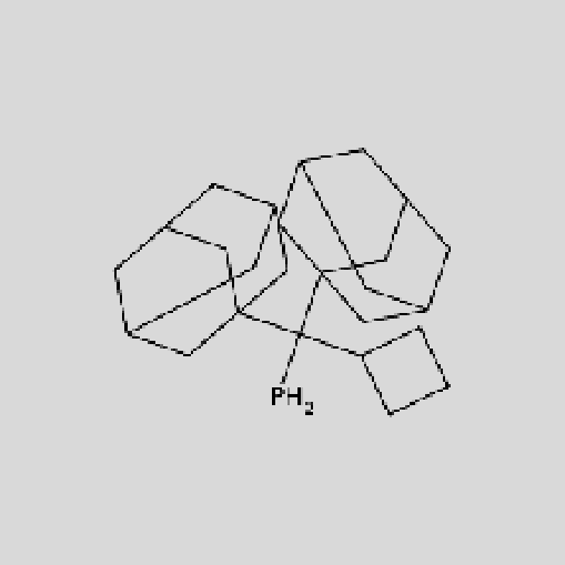 PC(C1CCC1)(C12CC3CC(CC(C3)C1)C2)C12CC3CC(CC(C3)C1)C2